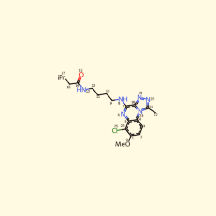 COc1ccc2c(nc(NCCCCNC(=O)CC(C)C)c3nnc(C)n32)c1Cl